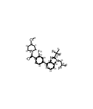 COC1CCN(C(=O)c2ccc(-c3nccc4c3nc(C(C)(F)F)n4CC(F)F)cc2F)CC1